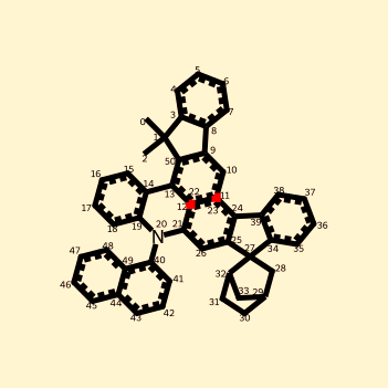 CC1(C)c2ccccc2-c2cccc(-c3ccccc3N(c3ccc4c(c3)C3(CC5CCC3C5)c3ccccc3-4)c3cccc4ccccc34)c21